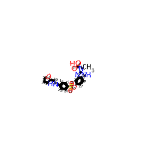 CN(C(=O)O)c1nc2cc(OS(=O)(=O)c3ccc(NCC4CCCO4)cc3)ccc2[nH]1